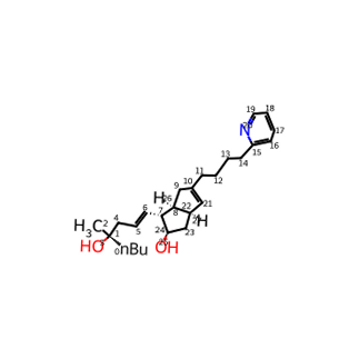 CCCC[C@](C)(O)C/C=C/[C@@H]1[C@H]2CC(CCCCc3ccccn3)=C[C@H]2C[C@H]1O